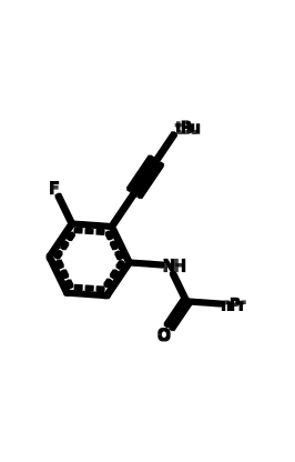 CCCC(=O)Nc1cccc(F)c1C#CC(C)(C)C